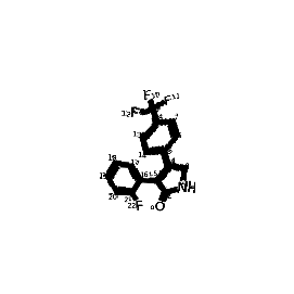 O=C1NCC(c2ccc(C(F)(F)F)cc2)=C1c1ccccc1F